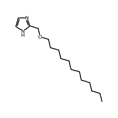 CCCCCCCCCCCCOCc1ncc[nH]1